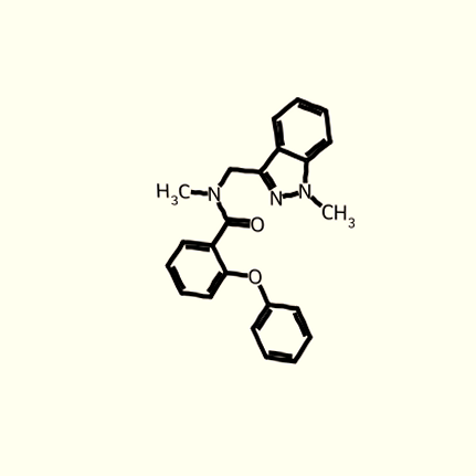 CN(Cc1nn(C)c2ccccc12)C(=O)c1ccccc1Oc1ccccc1